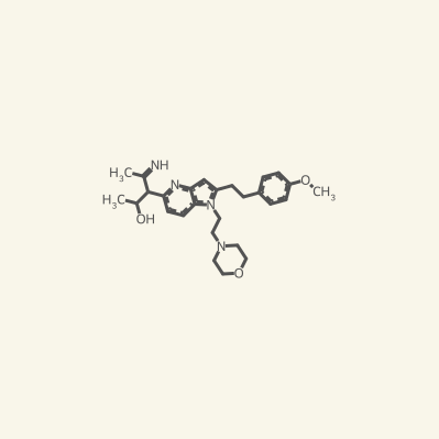 COc1ccc(CCc2cc3nc(C(C(C)=N)C(C)O)ccc3n2CCN2CCOCC2)cc1